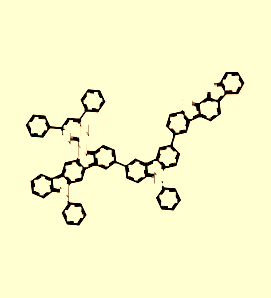 c1ccc(-c2cc(-c3ccccc3)nc(-n3c4ccc(-c5ccc6c(c5)c5cc(-c7ccc8oc9c(ccc%10c%11ccccc%11oc%109)c8c7)ccc5n6-c5ccccc5)cc4c4cc5c(cc43)c3ccccc3n5-c3ccccc3)n2)cc1